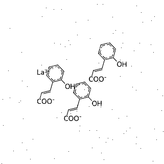 O=C([O-])C=Cc1ccccc1O.O=C([O-])C=Cc1ccccc1O.O=C([O-])C=Cc1ccccc1O.[La+3]